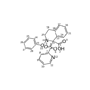 O=C(O)C1(S(=O)(=O)c2ccccn2)c2ccccc2CCN1Oc1ccccc1